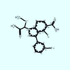 CSC(C(N)=O)n1nc(-c2cccc(F)c2)c2c(F)c(C(=O)O)ccc21